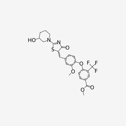 COC(=O)c1ccc(Oc2ccc(/C=C3/SC(N4CCCC(O)C4)=NC3=O)cc2OC)c(C(F)(F)F)c1